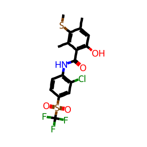 CSc1c(C)cc(O)c(C(=O)Nc2ccc(S(=O)(=O)C(F)(F)F)cc2Cl)c1C